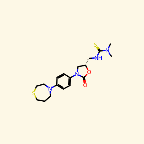 CN(C)C(=S)NC[C@H]1CN(c2ccc(N3CCCSCC3)cc2)C(=O)O1